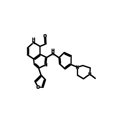 CN1CCN(c2ccc(Nc3nc(-c4ccoc4)cc4c3C(C=O)NC=C4)cc2)CC1